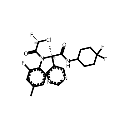 Cc1ccc(N(C(=O)[C@H](F)Cl)[C@@](C)(C(=O)NC2CCC(F)(F)CC2)c2cncnc2)c(F)c1